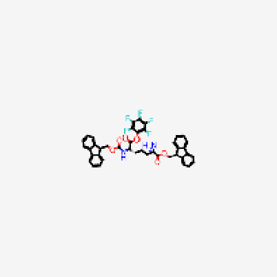 NC(CCC[C@H](NC(=O)OCC1c2ccccc2-c2ccccc21)C(=O)Oc1c(F)c(F)c(F)c(F)c1F)C(=O)OCC1c2ccccc2-c2ccccc21